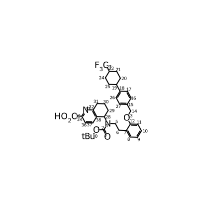 CC(C)(C)OC(=O)N(CCc1ccccc1OCc1ccc(C2CCC(C(F)(F)F)CC2)cc1)C1CCCc2nc(C(=O)O)ccc21